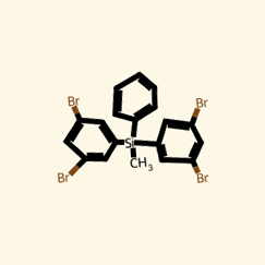 C[Si](c1ccccc1)(c1cc(Br)cc(Br)c1)c1cc(Br)cc(Br)c1